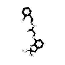 CC1(C)Cc2cccc(OCC(=O)N/N=C/c3ccccc3Br)c2O1